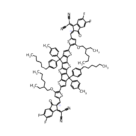 CCCCCCc1ccc(C2(c3ccc(C)cc3)c3cc(-c4sc(/C=C5\C(=O)c6cc(F)c(F)cc6C5=C(C#N)C#N)cc4OCC(CC)CCCC)sc3-c3sc4c5c(sc4c32)-c2sc(-c3sc(/C=C4\C(=O)c6cc(F)c(F)cc6C4=C(C#N)C#N)cc3OCC(CC)CCCC)cc2C5(c2ccc(C)cc2)c2ccc(CCCCCC)cc2)cc1